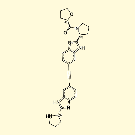 O=C([C@H]1CCCO1)N1CCC[C@H]1c1nc2ccc(C#Cc3ccc4nc([C@@H]5CCCN5)[nH]c4c3)cc2[nH]1